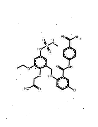 CCOc1cc(NS(=O)(=O)NC)cc(CNc2ccc(Cl)cc2C(=O)Nc2ccc(C(=N)N)cc2)c1OCC(=O)O